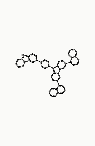 c1ccc2c(-c3ccc4c(c3)c3cc(-c5cccc6ccccc56)ccc3n4-c3ccc(-c4ccc5[nH]c6ccccc6c5c4)cc3)cccc2c1